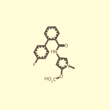 Cn1cc(NC(=O)c2ccccc2-c2ccc(F)cc2)cc1OC(=O)O